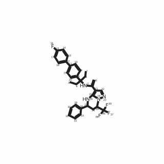 C=C(NC(CC)(CC)c1ccc(-c2ccc(F)cc2)cc1)c1cnn2c1NC(c1ccccc1)CC2C(F)(F)F